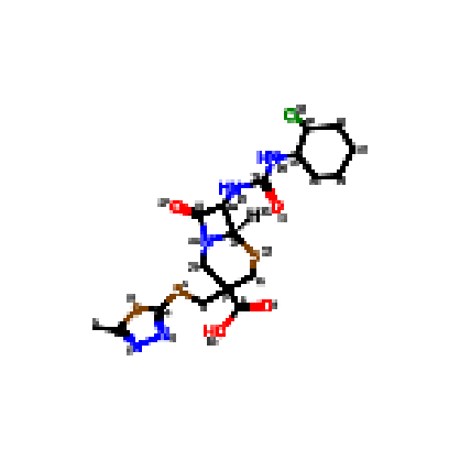 Cc1nnc(SCC2(C(=O)O)CS[C@@H]3C(NC(=O)NC4CCCCC4Cl)C(=O)N3C2)s1